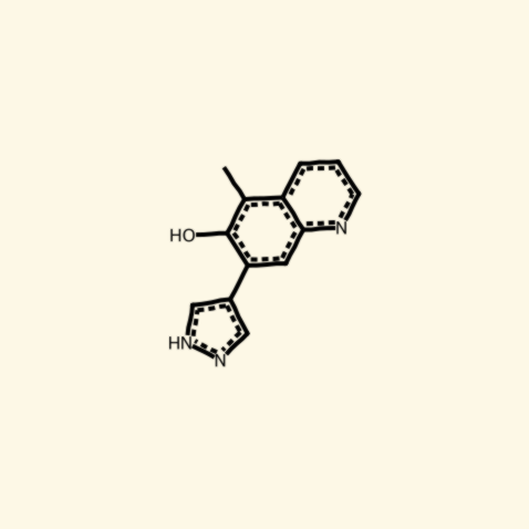 Cc1c(O)c(-c2cn[nH]c2)cc2ncccc12